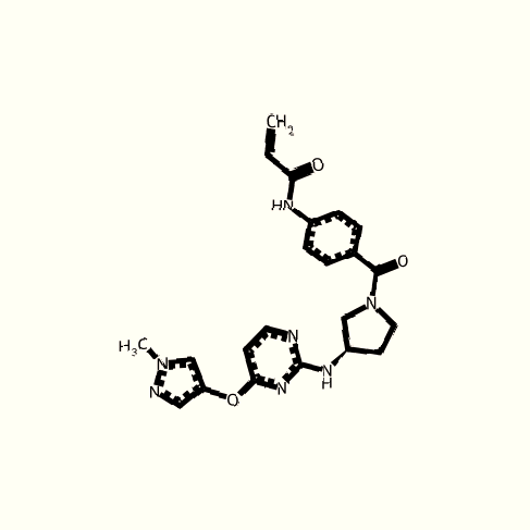 C=CC(=O)Nc1ccc(C(=O)N2CC[C@@H](Nc3nccc(Oc4cnn(C)c4)n3)C2)cc1